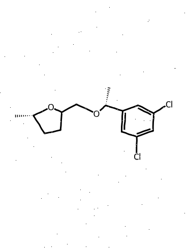 C[C@H]1CCC(CO[C@H](C)c2cc(Cl)cc(Cl)c2)O1